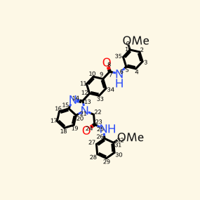 COc1cccc(NC(=O)c2ccc(-c3nc4ccccc4n3CC(=O)Nc3ccccc3OC)cc2)c1